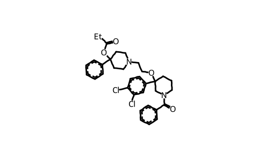 CCC(=O)OC1(c2ccccc2)CCN(CCOC2(c3ccc(Cl)c(Cl)c3)CCCN(C(=O)c3ccccc3)C2)CC1